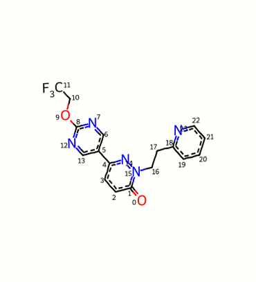 O=c1ccc(-c2cnc(OCC(F)(F)F)nc2)nn1CCc1ccccn1